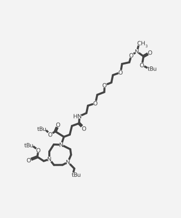 CN(OCCOCCOCCOCCNC(=O)CCC(C(=O)OC(C)(C)C)N1CCN(CC(=O)OC(C)(C)C)CCN(CC(C)(C)C)CC1)C(=O)OC(C)(C)C